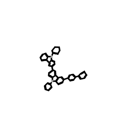 C1=C(n2c3ccccc3c3cc(-c4ccc5c(c4)c4cc(-c6ccc(-c7ccccc7)cc6)ccc4n5-c4ccccc4)ccc32)CCCC1